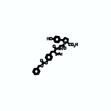 CC(=O)SC(Cc1ccc(OC(=O)OCc2ccccc2)cc1)C(=O)NCC(=O)N1C(c2ccc(O)cc2)CC[C@H]1C(=O)O